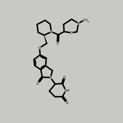 CN1CCC(C(=O)N2CCCC[C@@H]2COc2ccc3c(c2)CN(C2CCC(=O)NC2=O)C3=O)CC1